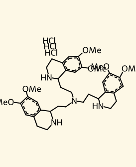 COc1cc2c(cc1OC)C(CCN(CCC1NCCc3cc(OC)c(OC)cc31)CCC1NCCc3cc(OC)c(OC)cc31)NCC2.Cl.Cl.Cl